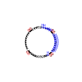 O=C1CCCCCCCCCCC(=O)C(=O)CCCCCNNNNNC(=O)C(=O)NNNNNNNNNNC(=O)C(=O)NCCCCCCCCCC1=O